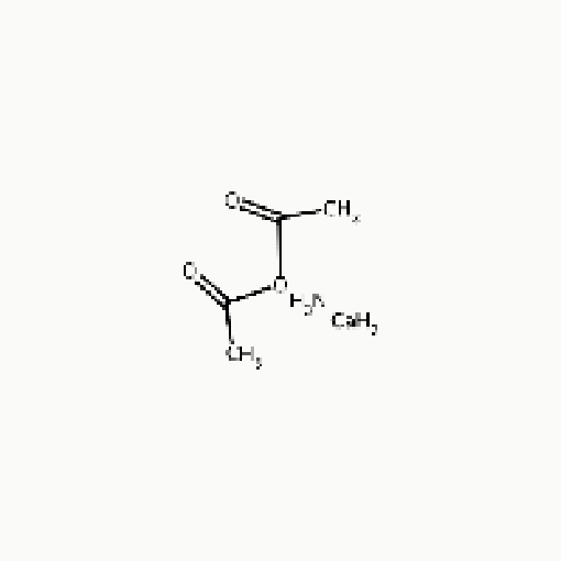 CC(=O)OC(C)=O.N.[CaH2]